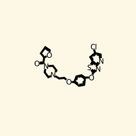 O=C(C1CC=CO1)N1CCN(CCOc2ccc(Oc3nc4ncc(Cl)cc4s3)cc2)CC1